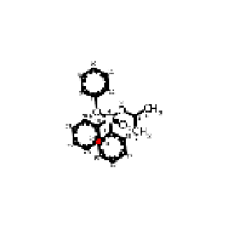 CC(C)[O][Ti](=[O])([O]c1ccccc1)([c]1ccccc1)[c]1ccccc1